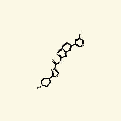 CC(C)N1CCC(c2nc(C(=O)Nc3cc4cc(-c5cncc(F)c5)ccc4cn3)co2)CC1